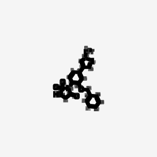 CCCn1cc(-c2ccc(N3C(=O)CNS3(=O)=O)c(OCc3ccccc3)c2)cn1